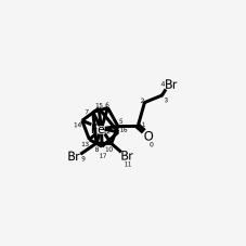 O=C(CCBr)[C]12[CH]3[CH]4[C]5(Br)[C]1(Br)[Fe]43521678[CH]2[CH]1[CH]6[CH]7[CH]28